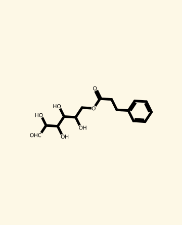 O=CC(O)C(O)C(O)C(O)COC(=O)CCc1ccccc1